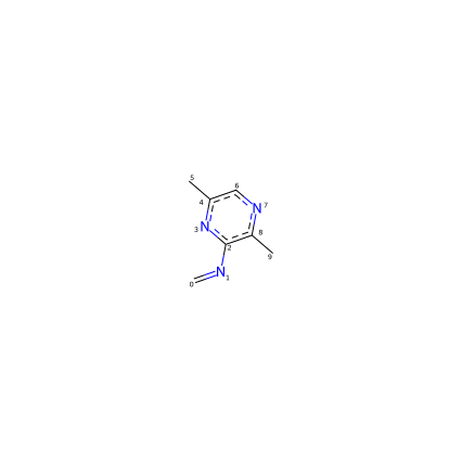 C=Nc1nc(C)cnc1C